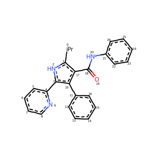 CC(C)c1[nH]c(-c2ccccn2)c(-c2ccccc2)c1C(=O)Nc1ccccc1